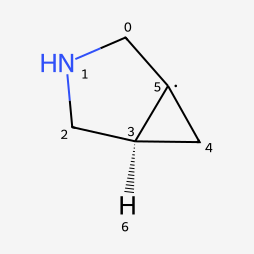 C1NC[C@@H]2C[C]12